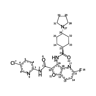 O=C(Nc1ccc(Cl)cn1)c1oc2ccc(F)nc2c1NC(=O)[C@H]1CC[C@H](N2CCCC2)CC1